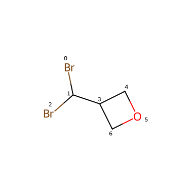 BrC(Br)C1COC1